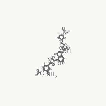 CC(C)Oc1ccc(-c2ncc(-c3cccc4c3CC[C@H]4NS(=O)(=O)CCN3CC[C@H](N(C)C)C3)s2)cc1N